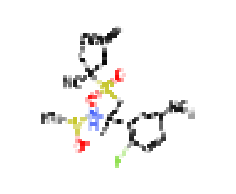 C=CCC(C#N)(COC)S(=O)(=O)CC(C)(N[S+]([O-])C(C)(C)C)c1cc([N+](=O)[O-])ccc1F